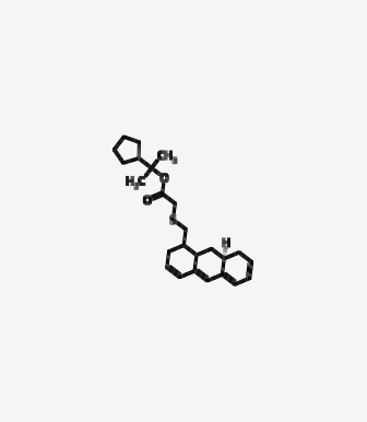 CC(C)(OC(=O)CSCC1CC=CC2=CC3=CC=CC[C@@H]3CC21)C1CCCC1